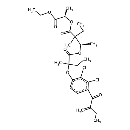 C=C(CC)C(=O)c1ccc(OC(C)(CC)C(=O)O[C@H](C)C(C)(CC)C(=O)O[C@H](C)C(=O)OCC)c(Cl)c1Cl